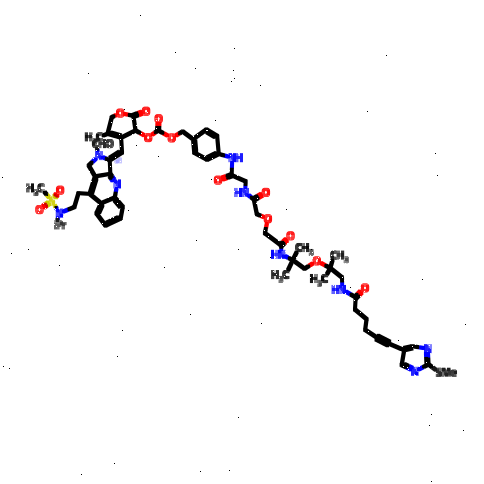 CSc1ncc(C#CCCCC(=O)NCC(C)(C)OCC(C)(C)NC(=O)COCC(=O)NCC(=O)Nc2ccc(COC(=O)OC3C(=O)OCC(C)=C3/C=C3/c4nc5ccccc5c(CCN(C(C)C)S(C)(=O)=O)c4CN3C=O)cc2)cn1